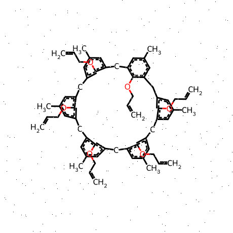 C=CCOc1c2cc(C)cc1Cc1cc(C)cc(c1OCC=C)Cc1cc(C)cc(c1OCC=C)Cc1cc(C)cc(c1OCC=C)Cc1cc(C)cc(c1OCC=C)Cc1cc(C)cc(c1OCC=C)C2